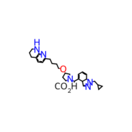 O=C(O)C(C1=CC=CC2C1C=NN2CC1CC1)N1CC[C@@H](OCCCCc2ccc3c(n2)NCCC3)C1